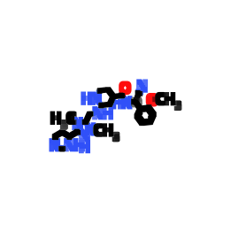 COc1ccccc1[C@H](C#N)NC(=O)C1CCNC(NCC2N(C)NC(C3CC=NCN3)N2C)C1